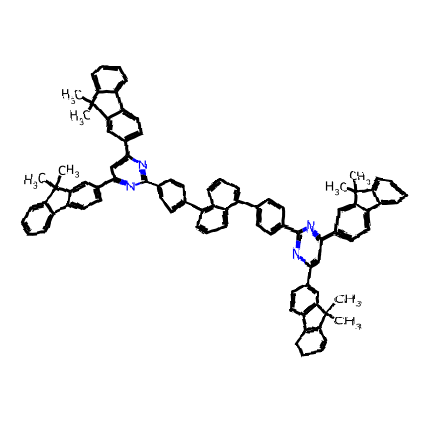 CC1(C)C2=C(CCC=C2)c2ccc(-c3cc(-c4ccc5c(c4)C(C)(C)c4ccccc4-5)nc(-c4ccc(-c5cccc6c(-c7ccc(-c8nc(-c9ccc%10c(c9)C(C)(C)c9ccccc9-%10)cc(-c9ccc%10c(c9)C(C)(C)c9ccccc9-%10)n8)cc7)cccc56)cc4)n3)cc21